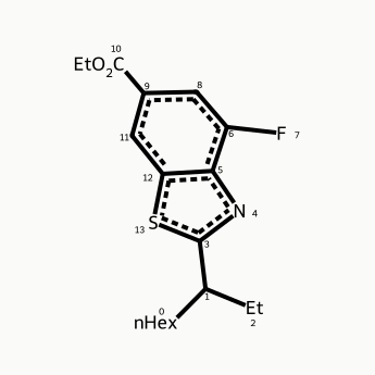 CCCCCCC(CC)c1nc2c(F)cc(C(=O)OCC)cc2s1